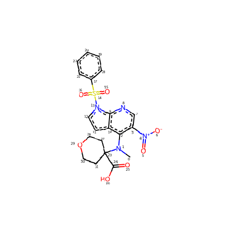 CN(c1c([N+](=O)[O-])cnc2c1ccn2S(=O)(=O)c1ccccc1)C1(C(=O)O)CCOCC1